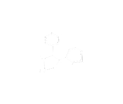 B1OC(c2ccccc2)C(c2ccccc2)O1